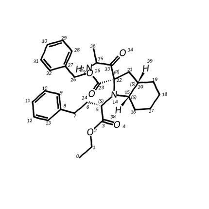 CCOC(=O)[C@H](CCc1ccccc1)N1[C@H]2CCCC[C@H]2C[C@]1(C(=O)OCc1ccccc1)C(=O)C(C)N